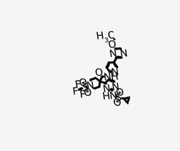 CCOc1cncc(-c2ccc(NC(=O)C3(c4ccnc(NS(=O)(=O)C5CC5)n4)CCN(S(=O)(=O)C(F)(F)F)CC3)nc2)n1